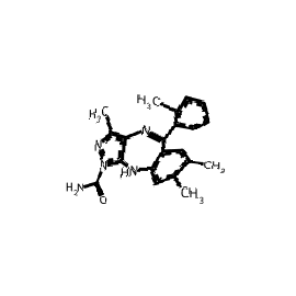 Cc1cc2c(cc1C)C(c1ccccc1C)=Nc1c(C)nn(C(N)=O)c1N2